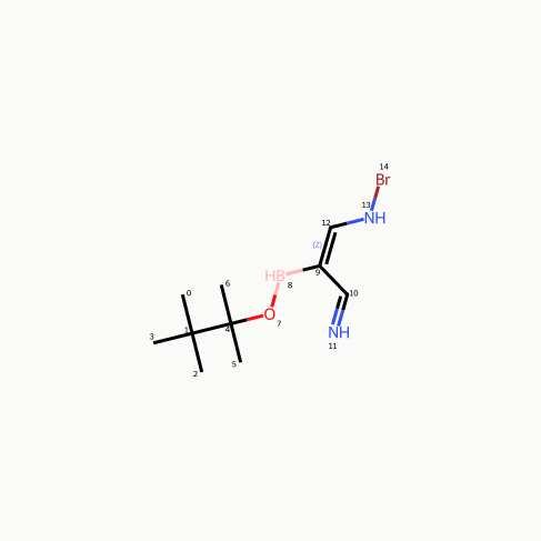 CC(C)(C)C(C)(C)OB/C(C=N)=C/NBr